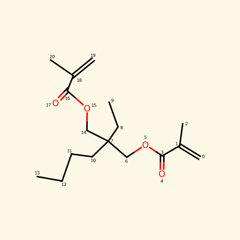 C=C(C)C(=O)OCC(CC)(CCCC)COC(=O)C(=C)C